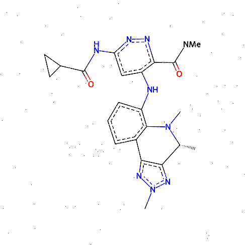 CNC(=O)c1nnc(NC(=O)C2CC2)cc1Nc1cccc2c1N(C)[C@H](C)c1nn(C)nc1-2